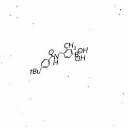 Cc1cc(B(O)O)ccc1CNC(=O)c1ccc(C(C)(C)C)cc1